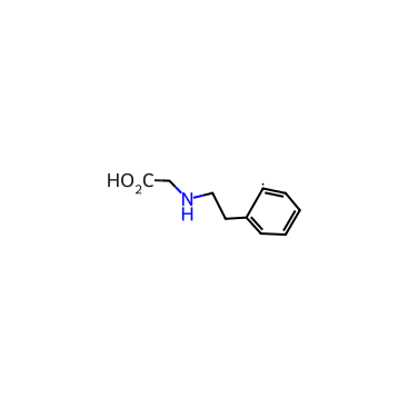 O=C(O)CNCCc1[c]cccc1